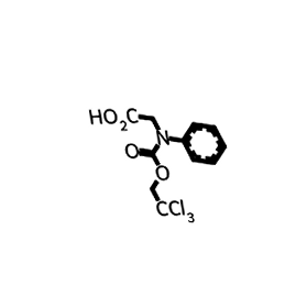 O=C(O)CN(C(=O)OCC(Cl)(Cl)Cl)c1ccccc1